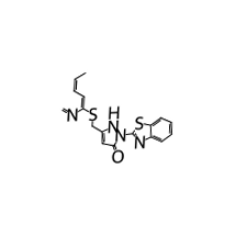 C=N/C(=C\C=C/C)SCc1cc(=O)n(-c2nc3ccccc3s2)[nH]1